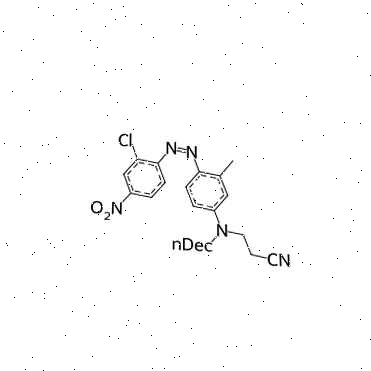 CCCCCCCCCCN(CCC#N)c1ccc(/N=N\c2ccc([N+](=O)[O-])cc2Cl)c(C)c1